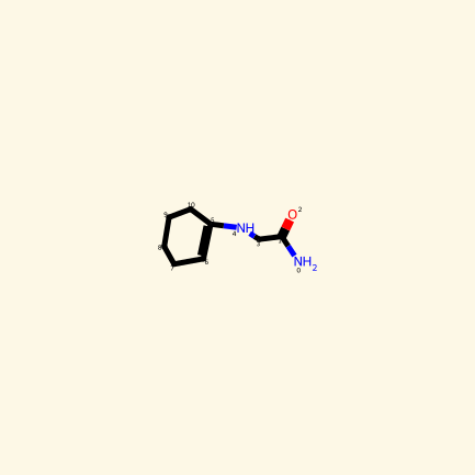 NC(=O)CNC1=CCCCC1